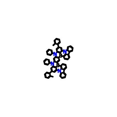 Cc1ccccc1-c1cc2c3c(c1)-n1c4ccccc4c4cccc(c41)B3c1cc3c(cc1N2c1ccccc1)N(c1ccccc1)c1cc(-c2ccccc2C)cc2c1B3c1cccc3c4ccccc4n-2c13